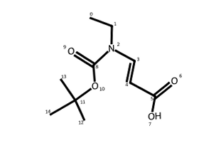 CCN(C=CC(=O)O)C(=O)OC(C)(C)C